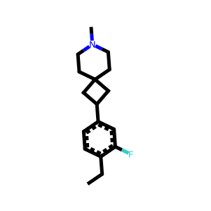 CCc1ccc(C2CC3(CCN(C)CC3)C2)cc1F